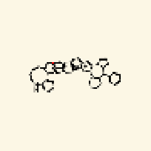 C1=CC2C(=C1)C(c1ccccc1)C1=C(CCCC1)C(=C/NC1=CC=C(c3ccc4cccc[nH]c5ccccc5c4c3)CC1)/C2=C\c1ccc(-c2ccccc2)cc1